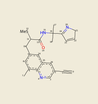 C#Cc1cnc2c(C)cc(CC(SC)C(=O)NC(C)(C)C3=NCC=C3)cc2c1